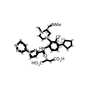 CNC[C@H]1CN(c2c(NC(=O)c3ccn(-c4ccnnc4)n3)ccc(C3CCCC3)c2C(F)(F)F)CCN1C.O=C(O)CCC(=O)O